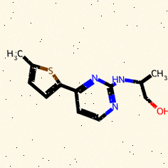 Cc1ccc(-c2ccnc(NC(C)CO)n2)s1